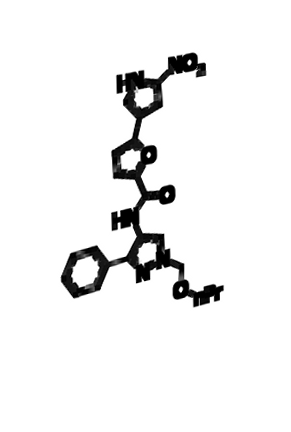 CCCOCn1cc(NC(=O)c2ccc(-c3c[nH]c([N+](=O)[O-])c3)o2)c(-c2ccccc2)n1